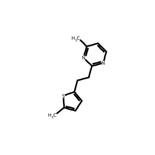 Cc1ccnc(CCc2ccc(C)s2)n1